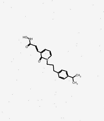 CC(C)c1ccc(CCCn2cccc(/C=C/C(=O)NO)c2=O)cc1